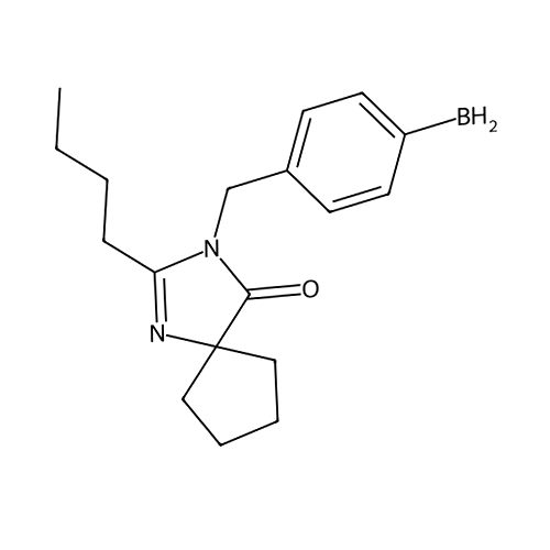 Bc1ccc(CN2C(=O)C3(CCCC3)N=C2CCCC)cc1